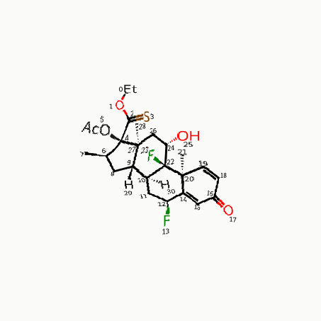 CCOC(=S)[C@@]1(OC(C)=O)[C@H](C)C[C@H]2[C@@H]3C[C@H](F)C4=CC(=O)C=C[C@]4(C)[C@@]3(F)[C@@H](O)C[C@@]21C